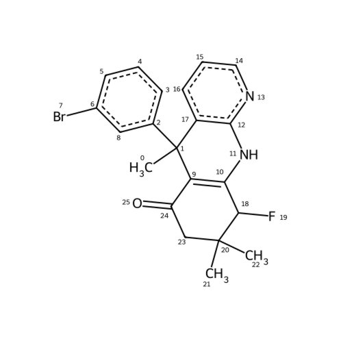 CC1(c2cccc(Br)c2)C2=C(Nc3ncccc31)C(F)C(C)(C)CC2=O